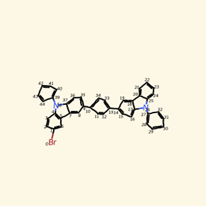 Brc1ccc2c(c1)c1cc(-c3ccc(-c4ccc5c(c4)c4ccccc4n5-c4ccccc4)cc3)ccc1n2-c1ccccc1